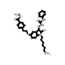 CCCCCCCN1C(=O)C(=NNC(=O)Nc2ccccc2)c2cc(SCCc3ccc(C(=O)OC)cc3)ccc21